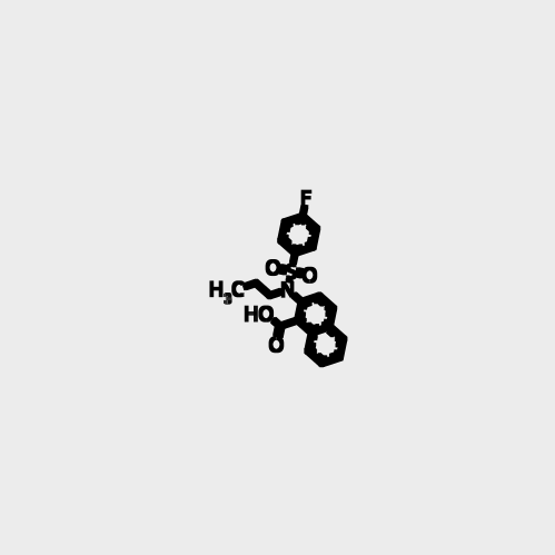 CCCN(c1ccc2ccccc2c1C(=O)O)S(=O)(=O)c1ccc(F)cc1